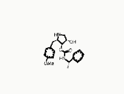 COc1ccc(C[C@H]2NC[C@H](O)[C@H]2OC(=O)N[C@@H](C)c2ccccc2)cc1